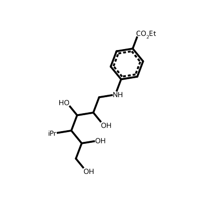 CCOC(=O)c1ccc(NCC(O)C(O)C(C(C)C)C(O)CO)cc1